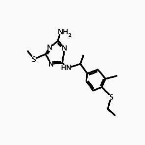 CCSc1ccc(C(C)Nc2nc(N)nc(SC)n2)cc1C